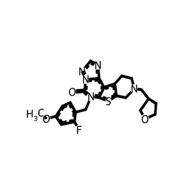 COc1ccc(Cn2c(=O)n3ncnc3c3c4c(sc32)CN(CC2CCOC2)CC4)c(F)c1